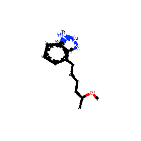 COC(C)CCCCc1cccc2[nH]nnc12